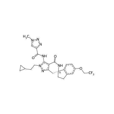 Cn1cc(C(=O)Nc2c3c(nn2CCC2CC2)C[C@]2(CCc4cc(OCC(F)(F)F)ccc42)NC3=O)nn1